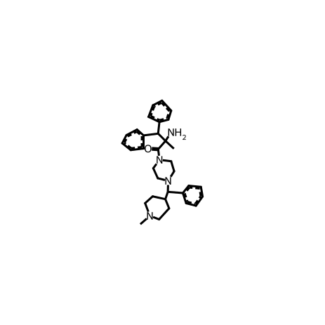 CN1CCC(C(c2ccccc2)N2CCN(C(=O)C(C)(N)C(c3ccccc3)c3ccccc3)CC2)CC1